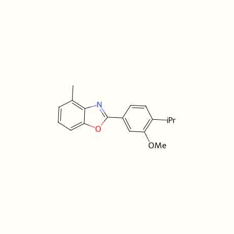 COc1cc(-c2nc3c(C)cccc3o2)ccc1C(C)C